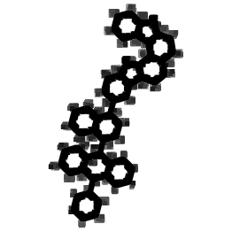 c1ccc(-c2c3ccccc3c(-c3ccc(-c4ccc5sc6c(ccc7ccc8sc9ccccc9c8c76)c5c4)c4ccccc34)c3ccccc23)cc1